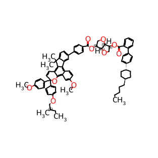 CCCCC[C@H]1CC[C@H](c2ccc(-c3ccccc3C(=O)O[C@H]3CO[C@@H]4[C@H]3OC[C@H]4OC(=O)c3ccc(-c4ccc5c(c4)-c4c(c6c(c7cc(OC)ccc47)OC(c4ccc(OC)cc4)(c4ccc(OC[C@@H](C)CC)cc4)C=C6)C5(C)C)cc3)cc2)CC1